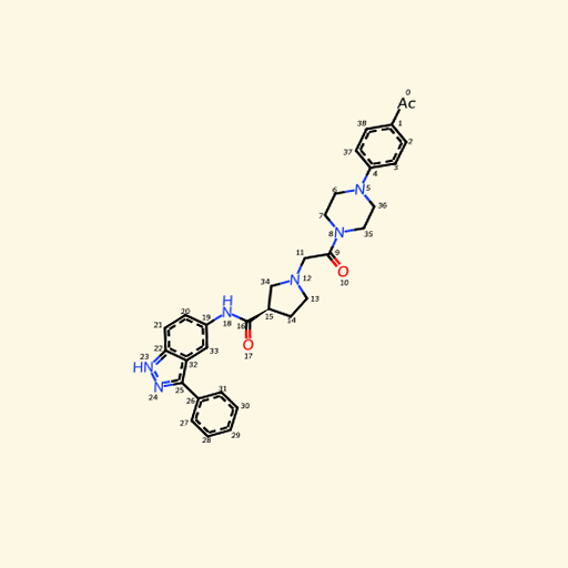 CC(=O)c1ccc(N2CCN(C(=O)CN3CC[C@@H](C(=O)Nc4ccc5[nH]nc(-c6ccccc6)c5c4)C3)CC2)cc1